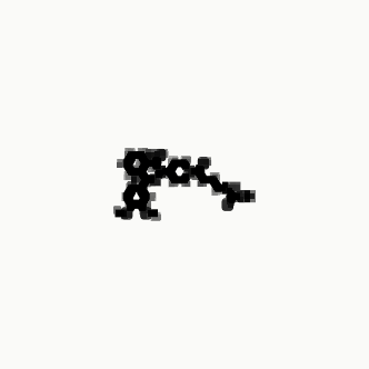 COc1ccc(C2=NN(C3CCN(C(=O)CCCNC(=O)O)CC3)C(=O)[C@@H]3CC=CC[C@H]23)cc1OC